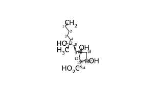 C=CCCCC(C)(O)C=C[C@]1(O)C[C@@H](CC(=O)O)[C@@H](O)C1